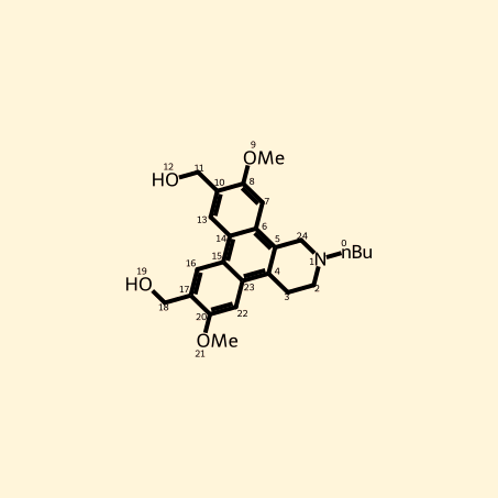 CCCCN1CCc2c(c3cc(OC)c(CO)cc3c3cc(CO)c(OC)cc23)C1